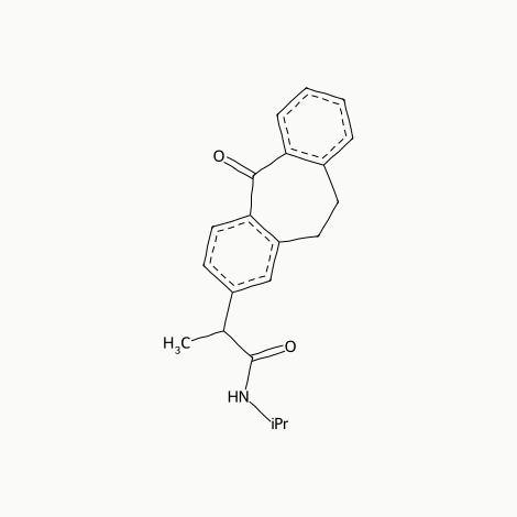 CC(C)NC(=O)C(C)c1ccc2c(c1)CCc1ccccc1C2=O